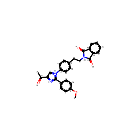 COc1ccc(-c2nc(C(C)=O)cn2-c2ccc(CCN3C(=O)c4ccccc4C3=O)cc2)cc1